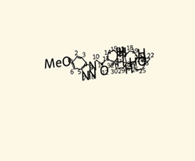 COc1ccc2c(c1)nnn2CC(=O)[C@H]1CC[C@H]2[C@@H]3CC[C@@H]4C5C[C@@]5(O)CC[C@@H]4[C@H]3CC[C@]12C